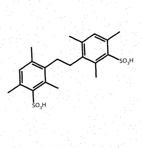 Cc1cc(C)c(S(=O)(=O)O)c(C)c1CCc1c(C)cc(C)c(S(=O)(=O)O)c1C